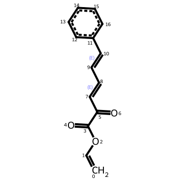 C=COC(=O)C(=O)/C=C/C=C/c1ccccc1